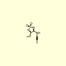 CC#CNC1=NS(=O)(=O)N=C1OC